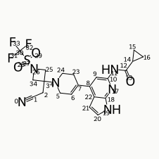 N#CCC1(N2CC=C(c3cc(NC(=O)C4CC4)nc4[nH]ccc34)CC2)CN(S(=O)(=O)C(F)(F)F)C1